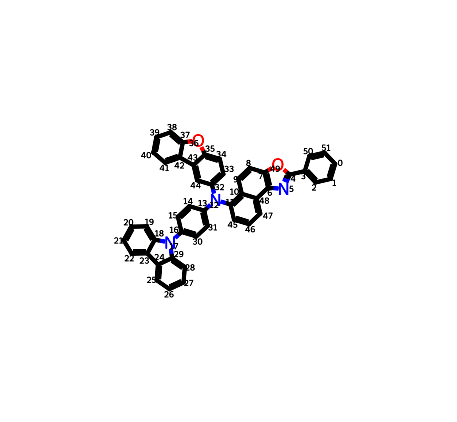 c1ccc(-c2nc3c(ccc4c(N(c5ccc(-n6c7ccccc7c7ccccc76)cc5)c5ccc6oc7ccccc7c6c5)cccc43)o2)cc1